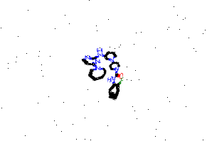 O=C(Nc1ccccc1F)N1CCC(N2CCCC(Nc3nccc(N4CCCCCC4)n3)C2)CC1